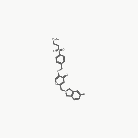 COCCS(=O)(=O)c1ccc(COc2coc(CN3Cc4ccc(F)cc4C3)cc2=O)cc1